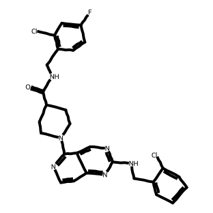 O=C(NCc1ccc(F)cc1Cl)C1CCN(c2nccc3nc(NCc4ccccc4Cl)ncc23)CC1